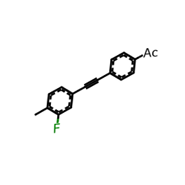 CC(=O)c1ccc(C#Cc2ccc(C)c(F)c2)cc1